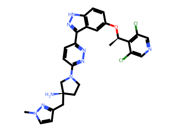 C[C@@H](Oc1ccc2[nH]nc(-c3ccc(N4CC[C@](N)(Cc5ccn(C)n5)C4)nn3)c2c1)c1c(Cl)cncc1Cl